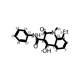 CCc1cccc2c(O)c(C(=O)Nc3ccccc3)c(=O)n(C)c12